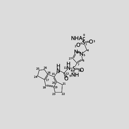 CC(=O)NS(=O)(=O)Cn1cc(S(=N)(=O)NC(=O)Nc2c3c(cc4c2CCC4)CCC3)cn1